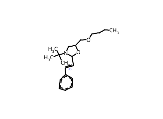 CCCCOCC1CN(C(C)(C)C)C(/C=C/c2ccccc2)O1